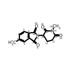 Cc1ccc2c(c1)C(=O)N(C1CCC(=O)N(C)C1=O)C2=O